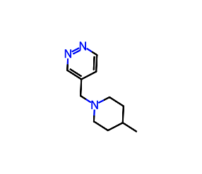 CC1CCN(Cc2ccnnc2)CC1